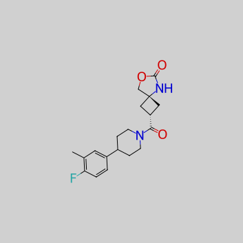 Cc1cc(C2CCN(C(=O)[C@H]3C[C@]4(COC(=O)N4)C3)CC2)ccc1F